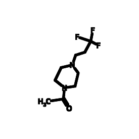 CC(=O)N1CCN(CCC(F)(F)F)CC1